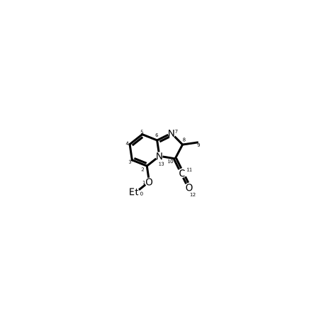 CCOC1=CC=CC2=NC(C)C(=C=O)N12